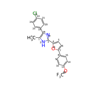 Cc1[nH]c(-c2ccc(-c3ccc(OC(F)(F)F)cc3)o2)nc1-c1ccc(Cl)cc1